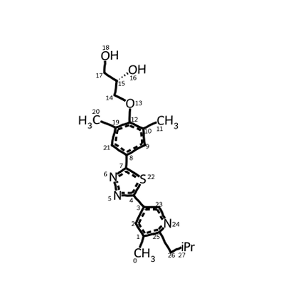 Cc1cc(-c2nnc(-c3cc(C)c(OC[C@@H](O)CO)c(C)c3)s2)cnc1CC(C)C